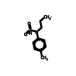 [CH2]CCN(c1ccc(C)cc1)[SH](=O)=O